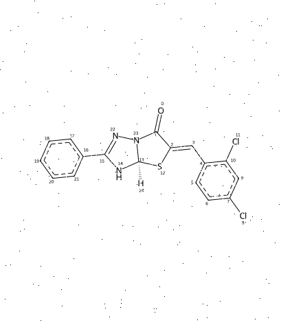 O=C1/C(=C/c2ccc(Cl)cc2Cl)S[C@H]2NC(c3ccccc3)=NN12